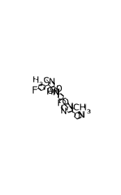 Cc1nc2c(Oc3ccc(NC(=O)c4cnc(C)c(-c5ccc(F)cc5)c4O)cc3F)ccnc2cc1-c1cccnc1